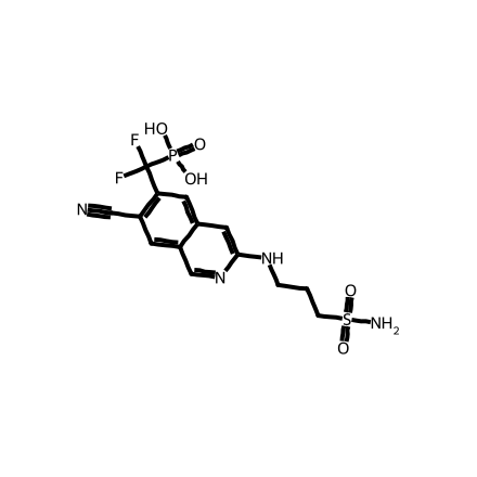 N#Cc1cc2cnc(NCCCS(N)(=O)=O)cc2cc1C(F)(F)P(=O)(O)O